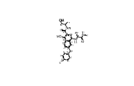 CNC(=O)C(=O)Nc1nc(C(=O)NC(C)CO)c(O)c2ncc(Cc3ccc(F)cc3)cc12